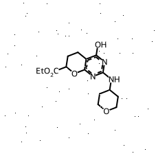 CCOC(=O)C1CCc2c(O)nc(NC3CCOCC3)nc2O1